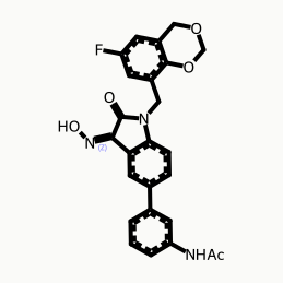 CC(=O)Nc1cccc(-c2ccc3c(c2)/C(=N/O)C(=O)N3Cc2cc(F)cc3c2OCOC3)c1